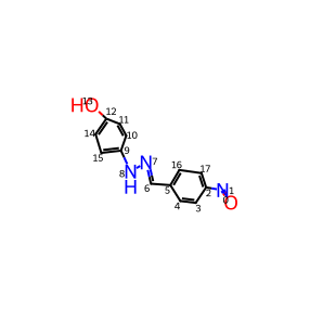 O=Nc1ccc(/C=N/Nc2ccc(O)cc2)cc1